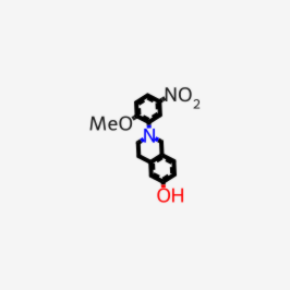 COc1ccc([N+](=O)[O-])cc1N1CCc2cc(O)ccc2C1